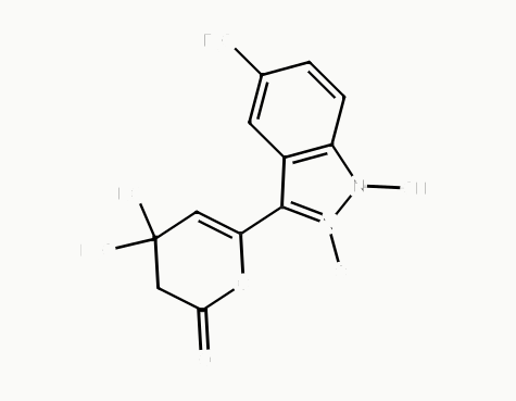 Cn1c2ccc(C(F)(F)F)cc2c(C2=CC(C)(C)CC(=O)O2)[n+]1[O-]